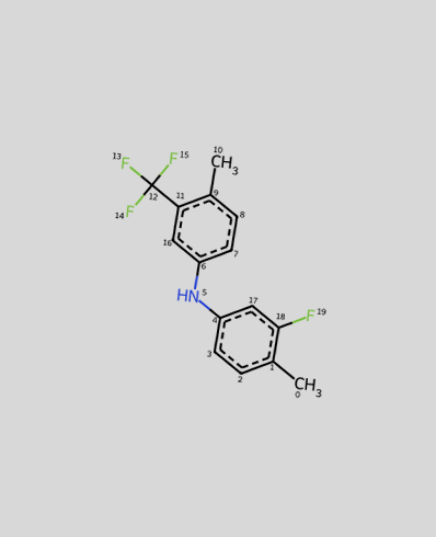 Cc1ccc(Nc2ccc(C)c(C(F)(F)F)c2)cc1F